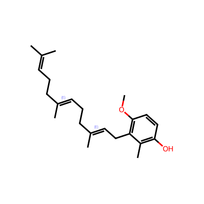 COc1ccc(O)c(C)c1C/C=C(\C)CC/C=C(\C)CCC=C(C)C